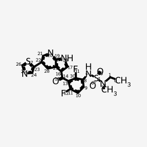 CCN(C)S(=O)(=O)Nc1ccc(F)c(C(=O)c2c[nH]c3ncc(-c4cncs4)cc23)c1F